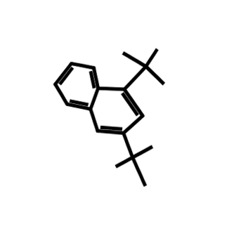 CC(C)(C)c1cc(C(C)(C)C)c2ccccc2c1